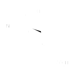 O=C(O)CSC[C@H]1CN2CC[C@@H]1C2